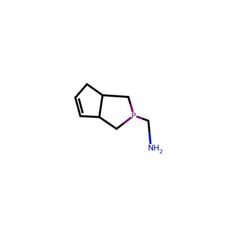 NCP1CC2C=CCC2C1